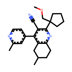 COCC1(c2nc3c(c(-c4ccnc(C)c4)c2C#N)CC(C)CC3)CCCC1